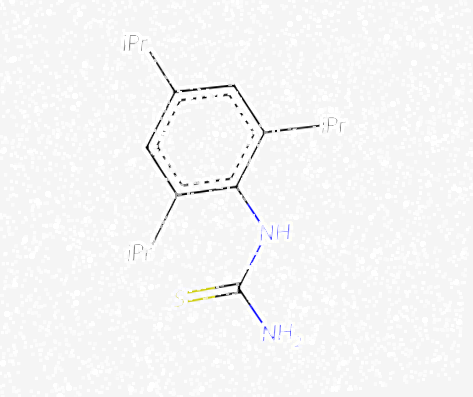 CC(C)c1cc(C(C)C)c(NC(N)=S)c(C(C)C)c1